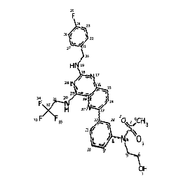 CS(=O)(=O)N(CCO)c1cccc(-c2ccc3nc(NCc4ccc(F)cc4)nc(NCC(F)(F)F)c3n2)c1